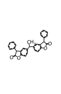 CC(c1ccc2c(c1)C(c1ccccc1)C(=O)O2)c1ccc2c(c1)C(c1ccccc1)C(=O)O2